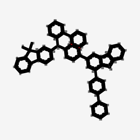 CC1(C)c2ccccc2-c2ccc(N(c3ccc(-c4cc(-c5ccc(-c6ccccc6)cc5)c5oc6ccccc6c5c4)cc3)c3ccccc3-c3ccccc3)cc21